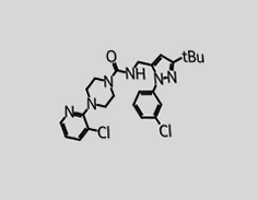 CC(C)(C)c1cc(CNC(=O)N2CCN(c3ncccc3Cl)CC2)n(-c2cccc(Cl)c2)n1